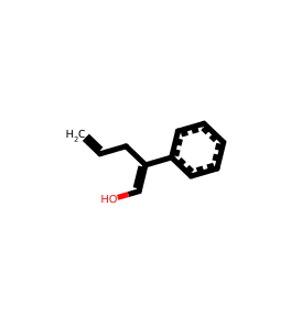 C=CCC(=CO)c1ccccc1